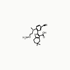 CN(CCON)c1ccc(C#N)cc1-c1sc2c(c1C(=O)O)CC(C)(C)CC2